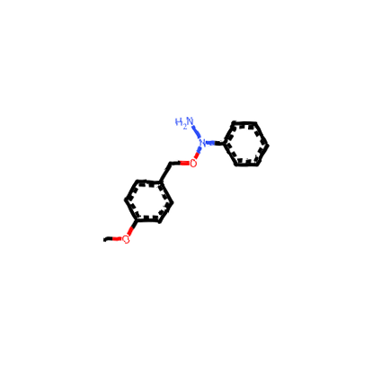 COc1ccc(CON(N)c2ccccc2)cc1